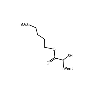 CCCCCCCCCCCCOC(=O)C(S)CCCCC